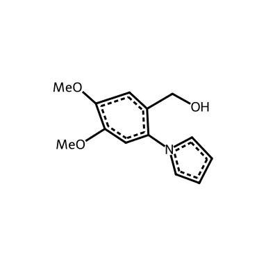 COc1cc(CO)c(-n2cccc2)cc1OC